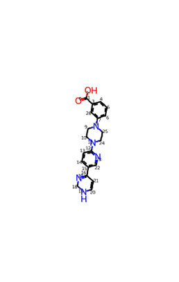 O=C(O)c1cccc(N2CCN(c3ccc(C4=NCNC=C4)cn3)CC2)c1